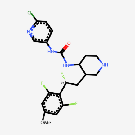 COc1cc(F)c([C@H](F)CC2CNCCC2NC(=O)Nc2ccc(Cl)nc2)c(F)c1